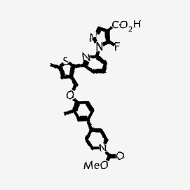 COC(=O)N1CCC(c2ccc(OCc3cc(C)sc3-c3cccc(-n4ncc(C(=O)O)c4F)n3)c(C)c2)CC1